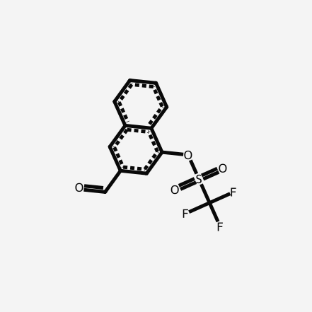 O=Cc1cc(OS(=O)(=O)C(F)(F)F)c2ccccc2c1